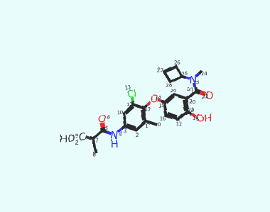 Cc1cc(NC(=O)C(C)C(=O)O)cc(Cl)c1Oc1ccc(O)c(C(=O)N(C)C2CCC2)c1